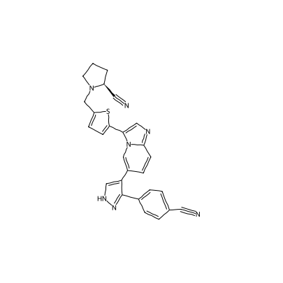 N#Cc1ccc(-c2n[nH]cc2-c2ccc3ncc(-c4ccc(CN5CCC[C@H]5C#N)s4)n3c2)cc1